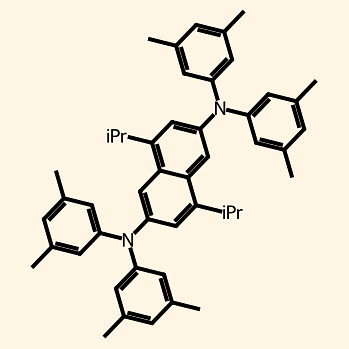 Cc1cc(C)cc(N(c2cc(C)cc(C)c2)c2cc(C(C)C)c3cc(N(c4cc(C)cc(C)c4)c4cc(C)cc(C)c4)cc(C(C)C)c3c2)c1